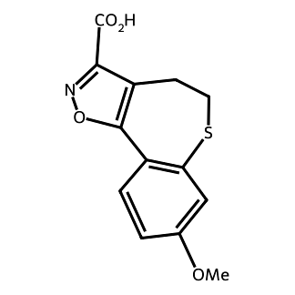 COc1ccc2c(c1)SCCc1c(C(=O)O)noc1-2